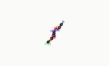 CN1C(=O)C(c2ccc(OCc3ccc(Cl)c(Cl)c3)cc2)Oc2cc3c(cc21)CC(C(=O)NC(Cc1ccc(-c2ccc(C#N)cc2)cc1)C(=O)O)NC3